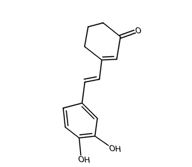 O=C1C=C(/C=C/c2ccc(O)c(O)c2)CCC1